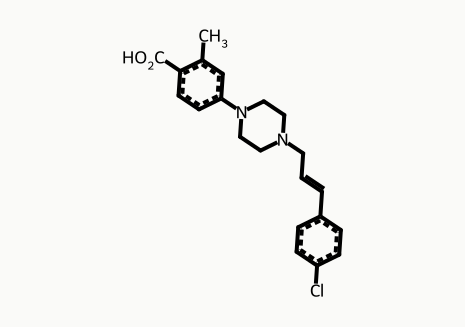 Cc1cc(N2CCN(CC=Cc3ccc(Cl)cc3)CC2)ccc1C(=O)O